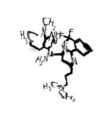 C=Nc1[nH]nc(N(N)c2cc(CCCN(C)C)nc(-c3ccccc3C(F)(F)F)n2)c1/C=C\C